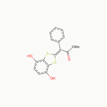 COC(=O)C(=C1Sc2c(O)ccc(O)c2S1)c1ccccc1